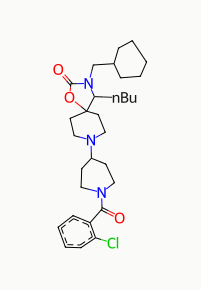 CCCCC1N(CC2CCCCC2)C(=O)OC12CCN(C1CCN(C(=O)c3ccccc3Cl)CC1)CC2